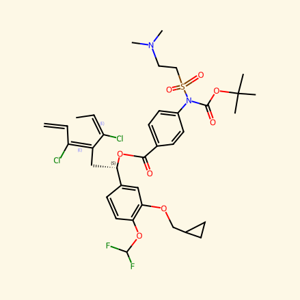 C=C/C(Cl)=C(C[C@H](OC(=O)c1ccc(N(C(=O)OC(C)(C)C)S(=O)(=O)CCN(C)C)cc1)c1ccc(OC(F)F)c(OCC2CC2)c1)\C(Cl)=C/C